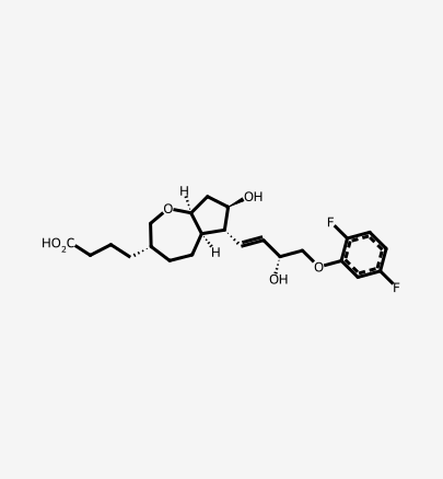 O=C(O)CCC[C@H]1CC[C@@H]2[C@@H](/C=C/[C@@H](O)COc3cc(F)ccc3F)[C@H](O)C[C@@H]2OC1